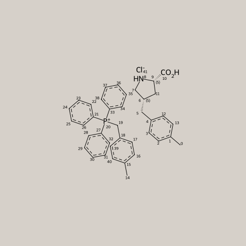 Cc1ccc(C[C@@H]2CN[C@H](C(=O)O)C2)cc1.Cc1ccc(C[P+](c2ccccc2)(c2ccccc2)c2ccccc2)cc1.[Cl-]